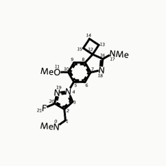 CNCc1cn(-c2cc3c(cc2OC)C2(CCC2)C(NC)=N3)nc1F